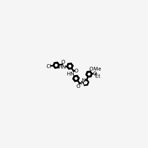 CCOc1cc(C2=NN(C(=O)c3ccc(NC(=O)c4cccc(NC(=O)c5ccc(Cl)cc5)c4)cc3)CCC2)ccc1OC